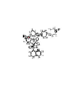 CCOc1ccccc1C1(OC(=O)N2CCN(C3CCN(C)CC3)CC2)C(=O)N(S(=O)(=O)c2cccc3cccnc23)c2ccc(F)cc21